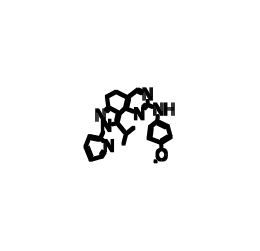 COc1ccc(Nc2ncc3c(n2)-c2c(nn(-c4ccccn4)c2C(C)C)CC3)cc1